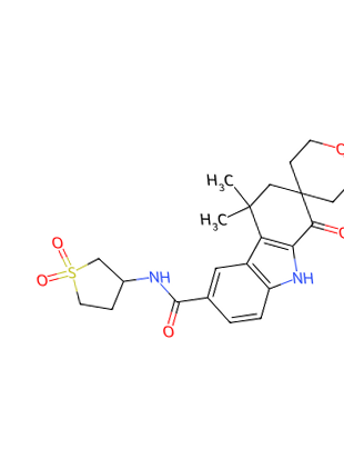 CC1(C)CC2(CCOCC2)C(=O)c2[nH]c3ccc(C(=O)NC4CCS(=O)(=O)C4)cc3c21